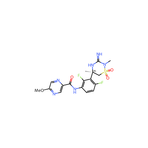 COc1cnc(C(=O)Nc2ccc(F)c([C@]3(C)CS(=O)(=O)N(C)C(=N)N3)c2F)cn1